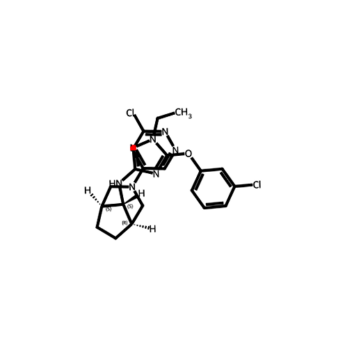 CCn1nc(N[C@@H]2[C@@H]3CC[C@H]2CN(c2cnnc(Cl)c2)C3)nc1Oc1cccc(Cl)c1